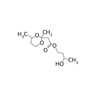 CC(O)CCOC(=O)CC1(C)OCCC(C)O1